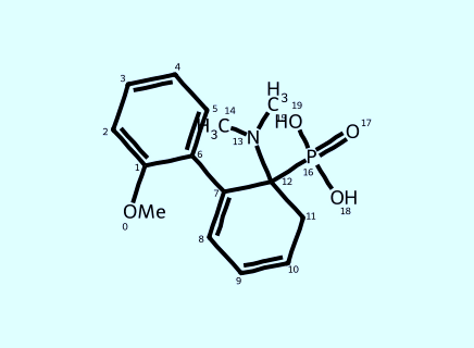 COc1ccccc1C1=CC=CCC1(N(C)C)P(=O)(O)O